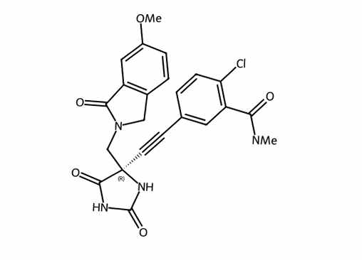 CNC(=O)c1cc(C#C[C@]2(CN3Cc4ccc(OC)cc4C3=O)NC(=O)NC2=O)ccc1Cl